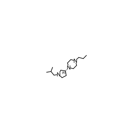 CCCN1CCN([C@@H]2CCN(CC(C)C)C2)CC1